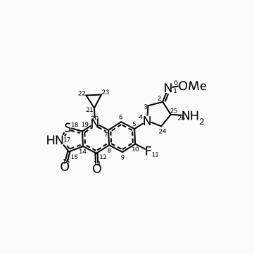 CON=C1CN(c2cc3c(cc2F)c(=O)c2c(=O)[nH]sc2n3C2CC2)CC1N